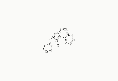 CCn1nc(CN2CCOCC2)c(Cl)c1-c1ccccn1